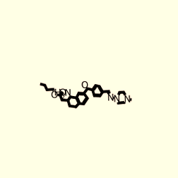 CCCCOC(=O)CC1CCc2ccc(C(=O)c3ccc(C=NN4CCN(C)CC4)cc3)cc2C1N